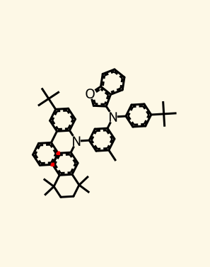 Cc1cc(N(c2ccc3c(c2)C(C)(C)CCC3(C)C)c2ccc(C(C)(C)C)cc2-c2ccccc2)cc(N(c2ccc(C(C)(C)C)cc2)c2coc3ccccc23)c1